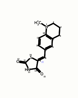 CN1CCCc2cc(/C=C3\SC(=O)NC3=O)ccc21